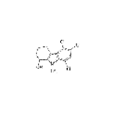 OC1CCCc2c1n(C(F)(F)F)c1c(Cl)cc(Cl)c(Cl)c21